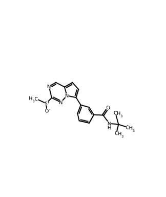 C[S+]([O-])c1ncc2ccc(-c3cccc(C(=O)NC(C)(C)C)c3)n2n1